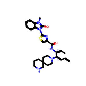 C=C/C=C(\C(=C/C)NC(=O)c1csc(-n2c(=O)n(C)c3ccccc32)n1)N1CCC2(CCCNC2)CC1